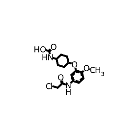 COc1ccc(NC(=O)CCl)cc1OC1CCC(NC(=O)O)CC1